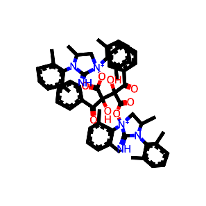 Cc1cccc(C)c1N1C(=N)[N+](OC(=O)C(O)(C(=O)c2ccccc2)C(O)(C(=O)O[N+]2(c3c(C)cccc3C)CC(C)N(c3c(C)cccc3C)C2=N)C(=O)c2ccccc2)(c2c(C)cccc2C)CC1C